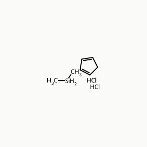 C1=CCC=C1.C[SiH2]C.Cl.Cl